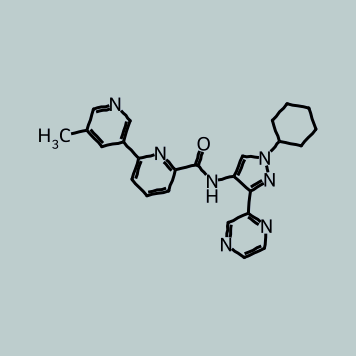 Cc1cncc(-c2cccc(C(=O)Nc3cn(C4CCCCC4)nc3-c3cnccn3)n2)c1